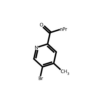 CCCC(=O)c1cc(C)c(Br)cn1